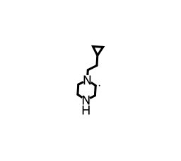 [CH]1CNCCN1CCC1CC1